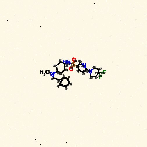 CN(Cc1ccccc1)C1CCC(NS(=O)(=O)c2ccc(N3CCC(F)(F)CC3)nc2)CC1